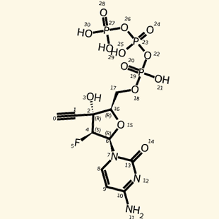 C#C[C@]1(O)[C@H](F)[C@H](n2ccc(N)nc2=O)O[C@@H]1COP(=O)(O)OP(=O)(O)OP(=O)(O)O